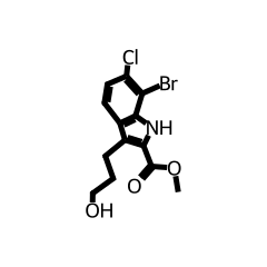 COC(=O)c1[nH]c2c(Br)c(Cl)ccc2c1CCCO